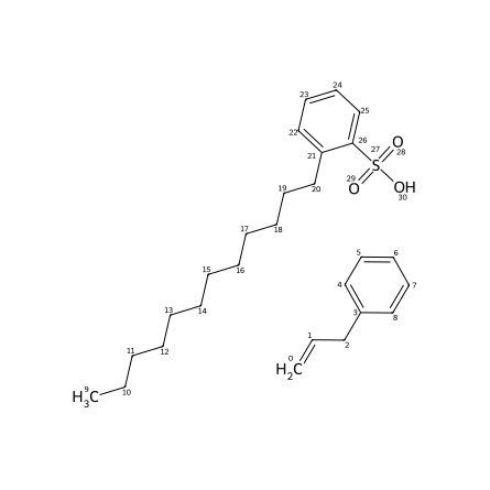 C=CCc1ccccc1.CCCCCCCCCCCCc1ccccc1S(=O)(=O)O